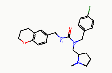 CN1CCCC1CN(Cc1ccc(F)cc1)C(=O)NCc1ccc2c(c1)CCCO2